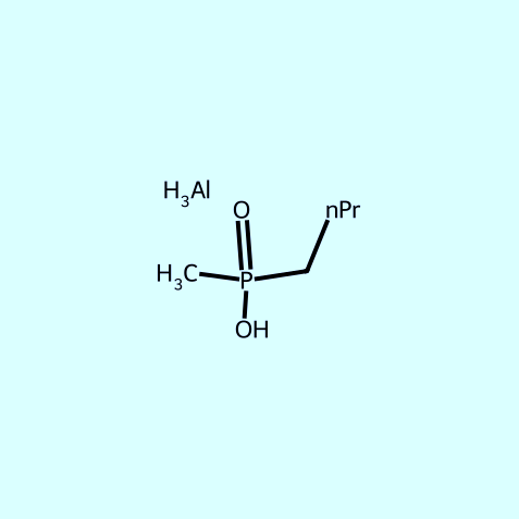 CCCCP(C)(=O)O.[AlH3]